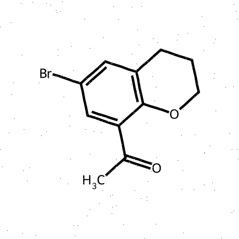 CC(=O)c1cc(Br)cc2c1OCCC2